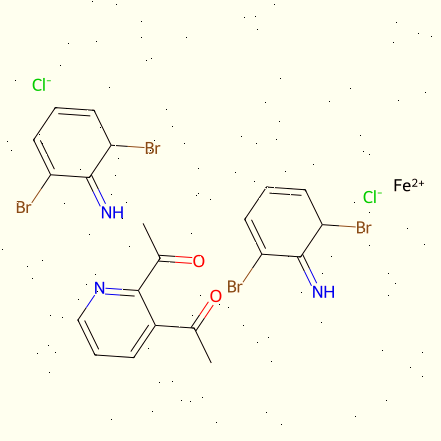 CC(=O)c1cccnc1C(C)=O.N=C1C(Br)=CC=CC1Br.N=C1C(Br)=CC=CC1Br.[Cl-].[Cl-].[Fe+2]